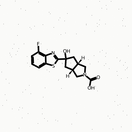 O=C(O)N1C[C@@H]2CC(O)(c3nc4c(F)cccc4s3)C[C@@H]2C1